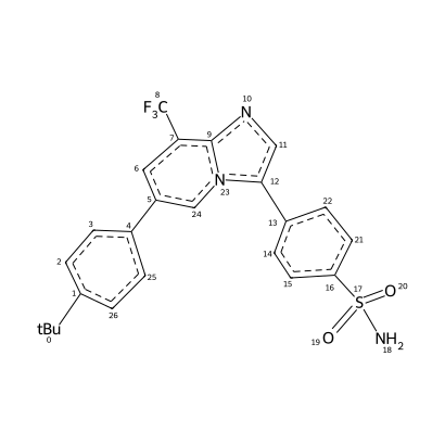 CC(C)(C)c1ccc(-c2cc(C(F)(F)F)c3ncc(-c4ccc(S(N)(=O)=O)cc4)n3c2)cc1